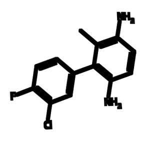 Cc1c(N)ccc(N)c1-c1ccc(F)c(Cl)c1